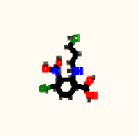 O=C(O)c1ccc(Cl)c([N+](=O)[O-])c1NCCCCl